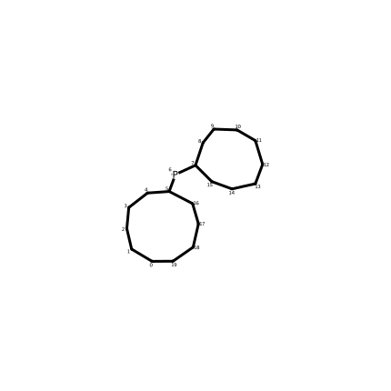 C1CCCCC([P]C2CCCCCCCC2)CCCC1